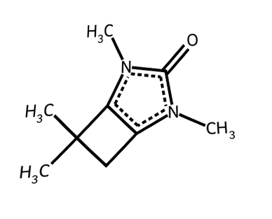 Cn1c2c(n(C)c1=O)C(C)(C)C2